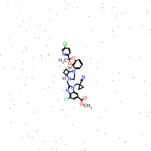 COC(=O)c1cc(F)c2nc(CN3CCN(c4cccc5c4O[C@](C)(c4ccc(Cl)cn4)O5)[C@@H]4CC[C@H]43)n(CC3(C#N)CC3)c2c1